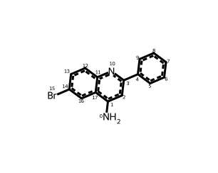 Nc1cc(-c2ccccc2)nc2ccc(Br)cc12